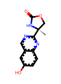 C[C@@]1(c2ncc3cc(O)ccc3n2)COC(=O)N1